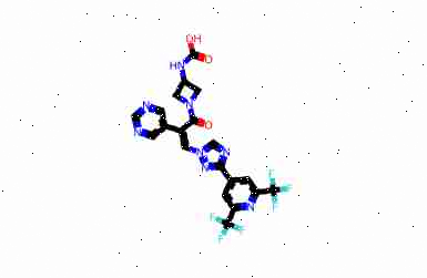 O=C(O)NC1CN(C(=O)C(=Cn2cnc(-c3cc(C(F)(F)F)nc(C(F)(F)F)c3)n2)c2cncnc2)C1